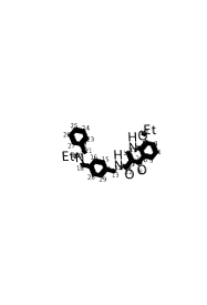 CCOc1cccc2c(=O)c(C(=O)NCc3ccc(CN(CC)Cc4ccccc4)cc3)c[nH]c12